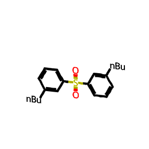 CCCCc1cccc(S(=O)(=O)c2cccc(CCCC)c2)c1